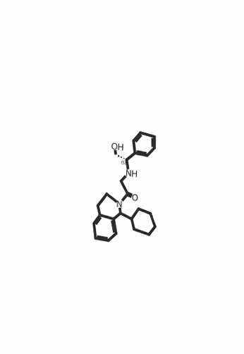 O=C(CN[C@H](CO)c1ccccc1)N1CCc2ccccc2C1C1CCCCC1